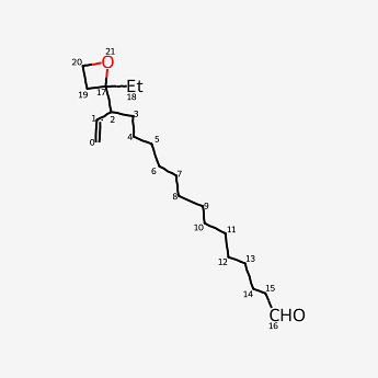 C=[C]C(CCCCCCCCCCCCCC=O)C1(CC)CCO1